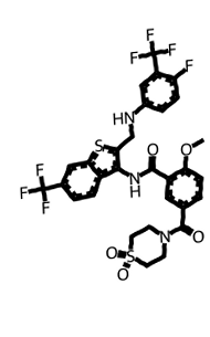 COc1ccc(C(=O)N2CCS(=O)(=O)CC2)cc1C(=O)Nc1c(CNc2ccc(F)c(C(F)(F)F)c2)sc2cc(C(F)(F)F)ccc12